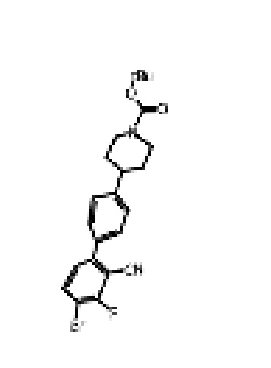 CC(C)(C)OC(=O)N1CCC(c2ccc(-c3ccc(Br)c(F)c3C#N)cc2)CC1